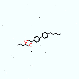 CCCCCc1ccc(-c2ccc(C3COC(CCC)CO3)cc2)cc1